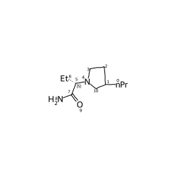 CCCC1CCN([C@@H](CC)C(N)=O)C1